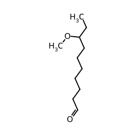 CCC(CCCCCCC=O)OC